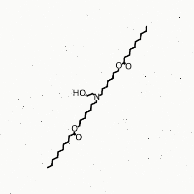 CCCCCCCCCC(=O)OCCCCCCCN(CCO)CCCCCCCOC(=O)CCCCCCCCC